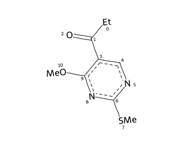 CCC(=O)c1cnc(SC)nc1OC